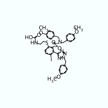 COc1ccc(CN(Cc2ccc(OC)cc2)S(=O)(=O)c2c(SCCNC(=O)O)ccc(I)c2-c2nnn(Cc3ccc(OC)cc3)n2)cc1